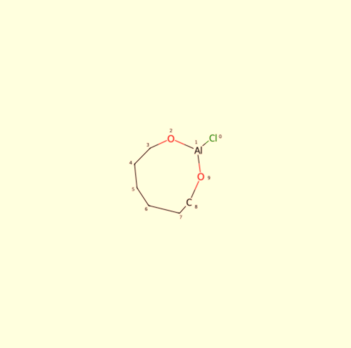 [Cl][Al]1[O]CCCCCC[O]1